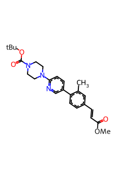 COC(=O)/C=C/c1ccc(-c2ccc(N3CCN(C(=O)OC(C)(C)C)CC3)nc2)c(C)c1